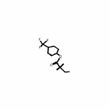 CCC(C)(C)C(=O)OC1CCC(C(F)(F)F)CC1